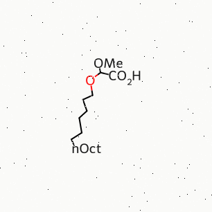 CCCCCCCCCCCCCCOC(OC)C(=O)O